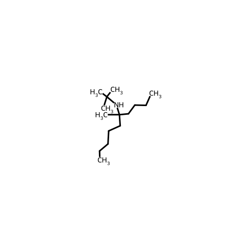 CCCCCC(C)(CCCC)NC(C)(C)C